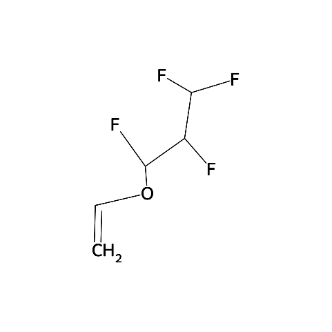 C=COC(F)C(F)C(F)F